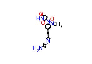 Cn1c(=O)n(C2CCC(=O)NC2=O)c2ccc(C#CC3CN(C[C@H]4C[C@H](N)C4)C3)cc21